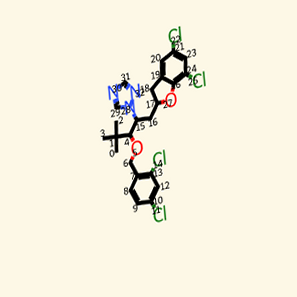 CC(C)(C)C(OCc1ccc(Cl)cc1Cl)C(CC1Cc2cc(Cl)cc(Cl)c2O1)n1cncn1